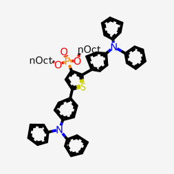 CCCCCCCCOP(=O)(OCCCCCCCC)c1cc(-c2ccc(N(c3ccccc3)c3ccccc3)cc2)sc1-c1ccc(N(c2ccccc2)c2ccccc2)cc1